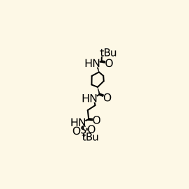 CC(C)(C)C(=O)N[C@H]1CC[C@@H](C(=O)NCCC(=O)NS(=O)(=O)C(C)(C)C)CC1